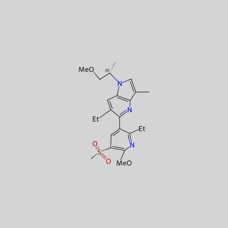 CCc1cc2c(nc1-c1cc(S(C)(=O)=O)c(OC)nc1CC)c(C)cn2[C@@H](C)COC